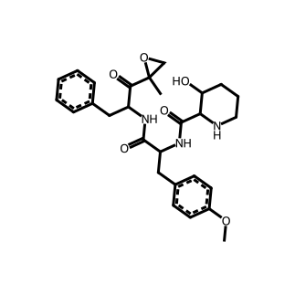 COc1ccc(CC(NC(=O)C2NCCCC2O)C(=O)NC(Cc2ccccc2)C(=O)C2(C)CO2)cc1